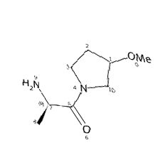 COC1CCN(C(=O)[C@@H](C)N)C1